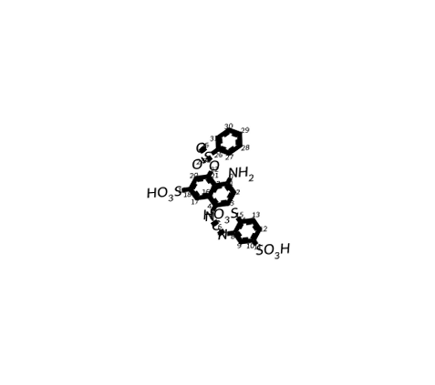 Nc1ccc(N=C=Nc2cc(S(=O)(=O)O)ccc2S(=O)(=O)O)c2cc(S(=O)(=O)O)cc(OS(=O)(=O)c3ccccc3)c12